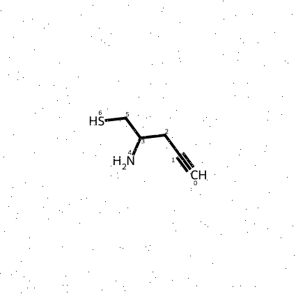 C#CCC(N)CS